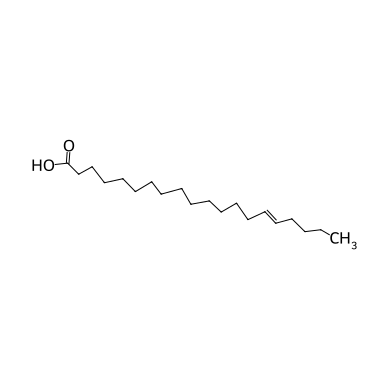 CCCC/C=C/CCCCCCCCCCCCCC(=O)O